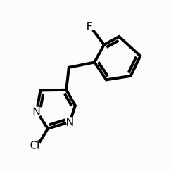 Fc1ccccc1Cc1cnc(Cl)nc1